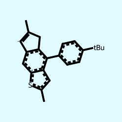 CC1=[C]c2cc3sc(C)cc3c(-c3ccc(C(C)(C)C)cc3)c2C1